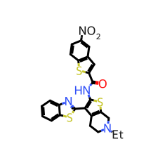 CCN1CCc2c(sc(NC(=O)c3cc4cc([N+](=O)[O-])ccc4s3)c2-c2nc3ccccc3s2)C1